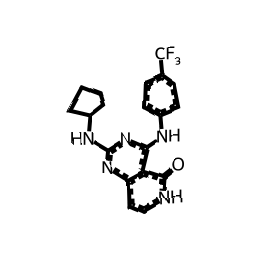 O=c1[nH]ccc2nc(NC3CCCC3)nc(Nc3ccc(C(F)(F)F)cc3)c12